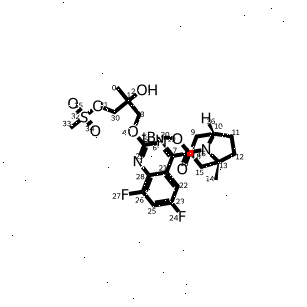 CC(O)(COc1nc(N2C[C@@H]3CC[C@](C)(C2)N3C(=O)OC(C)(C)C)c2cc(F)cc(F)c2n1)COS(C)(=O)=O